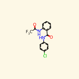 O=C(Nc1ccc(Cl)cc1)c1ccccc1NC(=O)C(F)(F)F